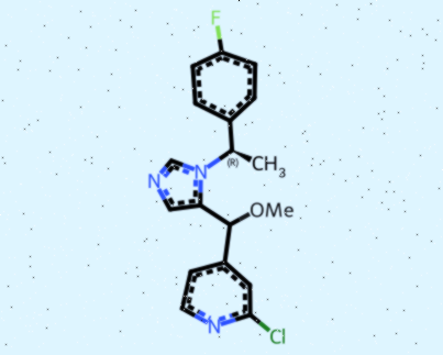 COC(c1ccnc(Cl)c1)c1cncn1[C@H](C)c1ccc(F)cc1